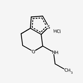 CCNC1OCCc2ccsc21.Cl